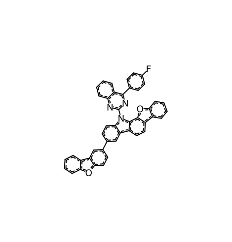 Fc1ccc(-c2nc(-n3c4ccc(-c5ccc6oc7ccccc7c6c5)cc4c4ccc5c6ccccc6oc5c43)nc3ccccc23)cc1